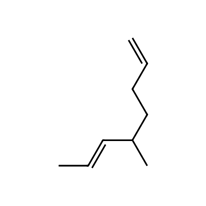 C=CCCC(C)C=CC